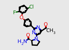 CC(=O)c1cc(N2CCC[C@H]2C(N)=O)nc(-c2ccc(Oc3cc(Cl)ccc3F)cc2)n1